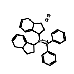 C1=CCC2CC[CH]([Hf+2]([CH]3CCC4CC=CC=C43)[SiH](c3ccccc3)c3ccccc3)C2=C1.[Cl-].[Cl-]